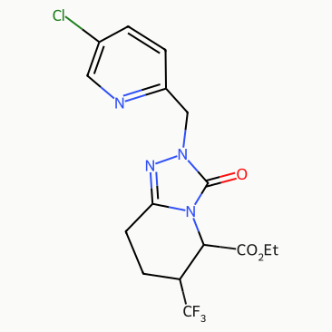 CCOC(=O)C1C(C(F)(F)F)CCc2nn(Cc3ccc(Cl)cn3)c(=O)n21